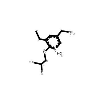 CCc1cc(CN)cnc1OCC(F)F.Cl